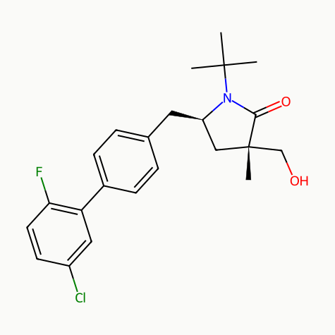 CC(C)(C)N1C(=O)[C@](C)(CO)C[C@H]1Cc1ccc(-c2cc(Cl)ccc2F)cc1